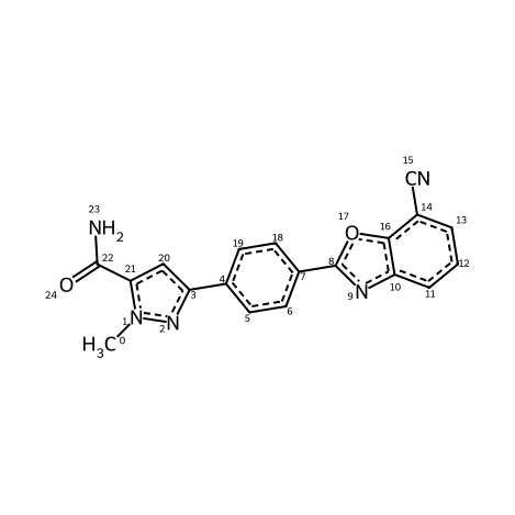 Cn1nc(-c2ccc(-c3nc4cccc(C#N)c4o3)cc2)cc1C(N)=O